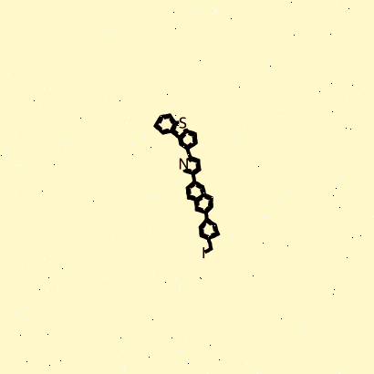 ICc1ccc(-c2ccc3cc(-c4ccc(-c5ccc6sc7ccccc7c6c5)nc4)ccc3c2)cc1